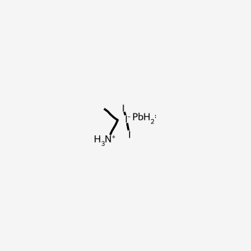 CC[NH3+].I[I-]I.[PbH2]